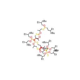 CCCCC(CC)CCP(OCC(CC)CCCC)SCC(C)OP(OC(C)CSP(OCC(CC)CCCC)OCC(CC)CCCC)SCC(C)OP(OC(C)CSP(OC(C)CSP(OCC(CC)CCCC)OCC(CC)CCCC)OC(C)CSP(=S)(OCC(CC)CCCC)OCC(CC)CCCC)SCCC(=O)OC